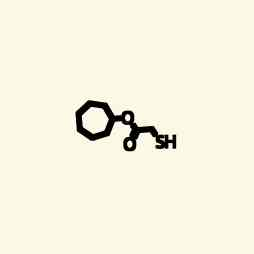 O=C(CS)OC1CCCCCC1